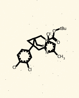 Cc1cc(C(F)(F)F)n(CC23CN(C(=O)OC(C)(C)C)CCC2(c2ccc(Cl)c(Cl)c2)C3)n1